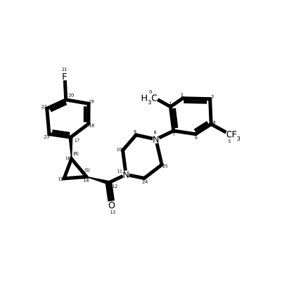 Cc1ccc(C(F)(F)F)cc1N1CCN(C(=O)[C@H]2C[C@H]2c2ccc(F)cc2)CC1